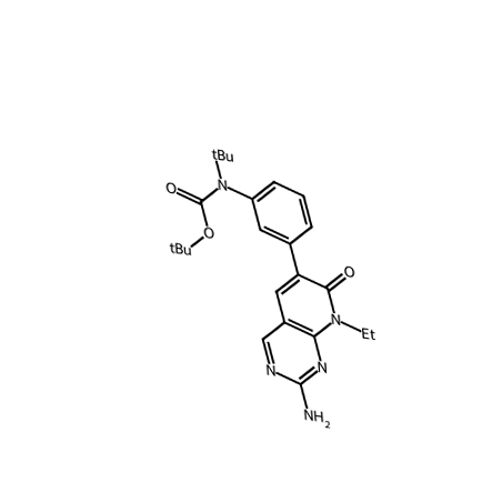 CCn1c(=O)c(-c2cccc(N(C(=O)OC(C)(C)C)C(C)(C)C)c2)cc2cnc(N)nc21